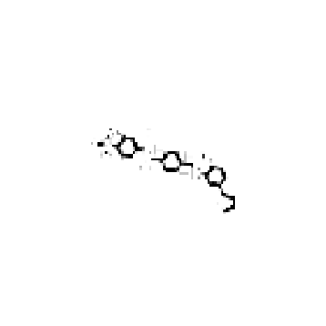 CCc1c(NC(=O)c2ccc(C(=O)Nc3cc(-c4cccs4)ccc3N)cc2)ccc(P(=O)(O)O)c1CC